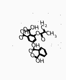 C=C(C)C(=O)Oc1cccc(C(=O)O)c1C(=O)O.O=C(O)c1ccccc1C(=O)O